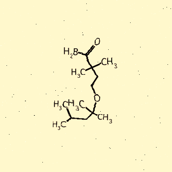 BC(=O)C(C)(C)CCOC(C)(C)CC(C)C